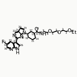 CCOCCOCCOCCNC(=O)[C@H]1CCC[C@@H](n2ccc3cnc(-c4c[nH]c5ncc(F)cc45)nc32)C1